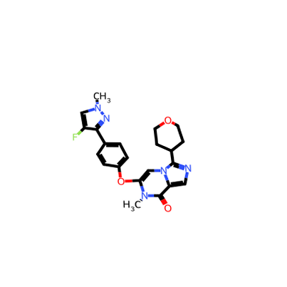 Cn1cc(F)c(-c2ccc(Oc3cn4c(C5CCOCC5)ncc4c(=O)n3C)cc2)n1